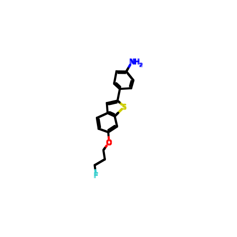 Nc1ccc(-c2cc3ccc(OCCCF)cc3s2)cc1